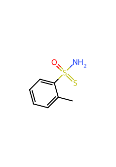 Cc1ccccc1S(N)(=O)=S